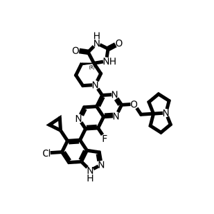 O=C1NC(=O)[C@]2(CCCN(c3nc(OCC45CCCN4CCC5)nc4c(F)c(-c5c(C6CC6)c(Cl)cc6[nH]ncc56)ncc34)C2)N1